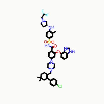 Cc1cc(S(=O)(=O)NC(=O)c2ccc(N3CCN(CC4=C(c5ccc(Cl)cc5)CC(C)(C)CC4)CC3)cc2Oc2cccc3[nH]cnc23)ccc1N[C@@H]1CCN(CC(F)F)C1